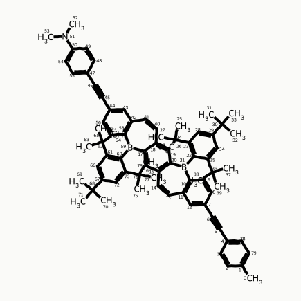 Cc1ccc(C#Cc2ccc3c(c2)C=Cc2cc4c(cc2B3c2c(C(C)(C)C)cc(C(C)(C)C)cc2C(C)(C)C)C=Cc2cc(C#Cc3ccc(N(C)C)cc3)ccc2B4c2c(C(C)(C)C)cc(C(C)(C)C)cc2C(C)(C)C)cc1